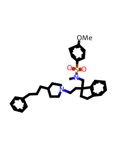 COc1ccc(S(=O)(=O)N(C)CC2(CCN3CCC(CCCc4ccccc4)CC3)CCc3ccccc32)cc1